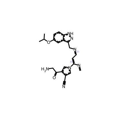 C=N/C(=C\C=N/Cc1n[nH]c2ccc(OC(C)C)cc12)n1cc(C#N)c(C(=O)CN)c1